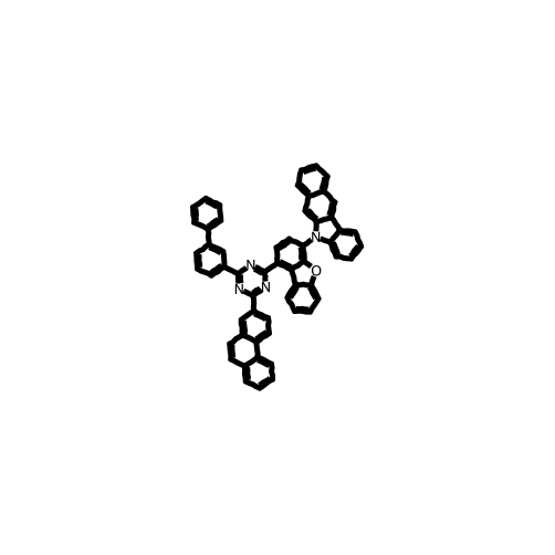 c1ccc(-c2cccc(-c3nc(-c4ccc5c(ccc6ccccc65)c4)nc(-c4ccc(-n5c6ccccc6c6cc7ccccc7cc65)c5oc6ccccc6c45)n3)c2)cc1